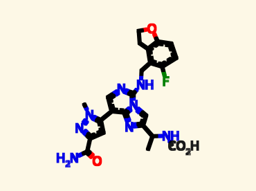 CC(NC(=O)O)c1cn2c(NCc3c(F)ccc4c3CCO4)ncc(-c3cc(C(N)=O)nn3C)c2n1